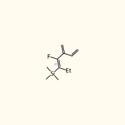 C=CC(=C)/C(F)=C(\CC)[Si](C)(C)C